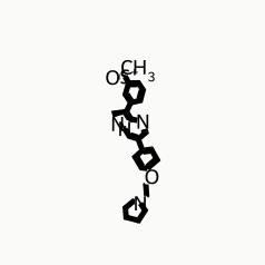 C[S+]([O-])c1cccc(-c2cnn3cc(-c4ccc(OCCN5CCCCC5)cc4)cnc23)c1